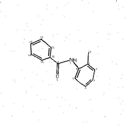 [CH2]c1ccccc1NC(=O)c1ccccc1